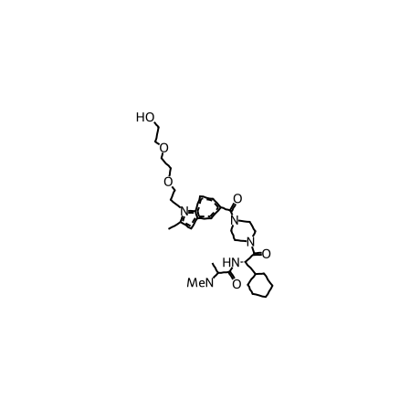 CNC(C)C(=O)N[C@H](C(=O)N1CCN(C(=O)c2ccc3c(c2)cc(C)n3CCOCCOCCO)CC1)C1CCCCC1